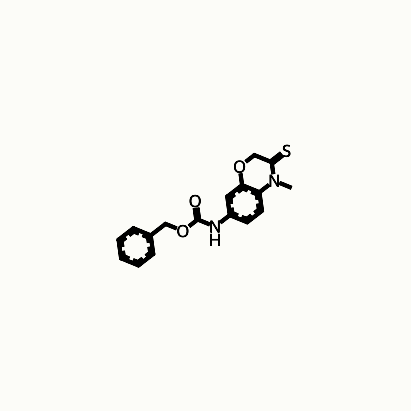 CN1C(=S)COc2cc(NC(=O)OCc3ccccc3)ccc21